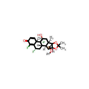 CC(C)OC(=S)[C@@]12OC(C)(C)O[C@@H]1C[C@H]1[C@@H]3C[C@H](F)C4=C(F)C(=O)C=C[C@]4(C)[C@@]3(F)[C@@H](O)C[C@@]12C